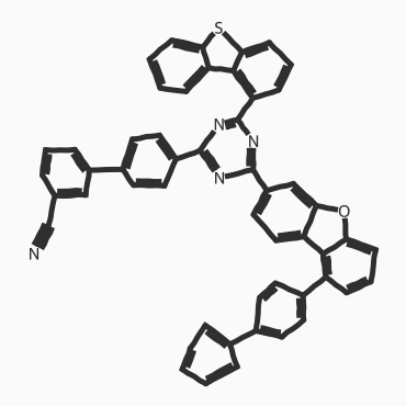 N#Cc1cccc(-c2ccc(-c3nc(-c4ccc5c(c4)oc4cccc(-c6ccc(-c7ccccc7)cc6)c45)nc(-c4cccc5sc6ccccc6c45)n3)cc2)c1